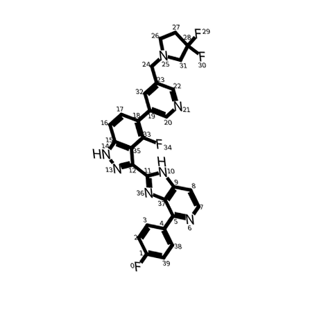 Fc1ccc(-c2nccc3[nH]c(-c4n[nH]c5ccc(-c6cncc(CN7CCC(F)(F)C7)c6)c(F)c45)nc23)cc1